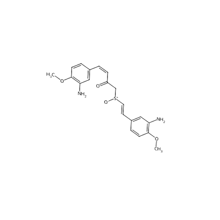 COc1ccc(/C=C\C(=O)C[S+]([O-])/C=C/c2ccc(OC)c(N)c2)cc1N